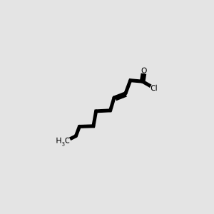 CCCCCC/C=C/CC(=O)Cl